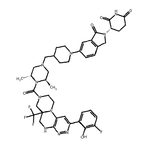 C[C@@H]1CN(CC2CCN(c3ccc4c(c3)C(=O)N([C@H]3CCC(=O)NC3=O)C4)CC2)C[C@@H](C)N1C(=O)N1CCN2c3cc(-c4cccc(F)c4O)nnc3NCC2(C(F)(F)F)C1